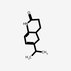 CC(C)C1=CC=C2NC(=O)CCC2C1